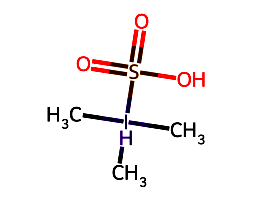 C[IH](C)(C)S(=O)(=O)O